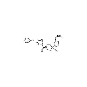 N#CC1(c2cccc(CN)c2)CCN(C(=O)c2cncc(CCc3ccccc3)c2)CC1